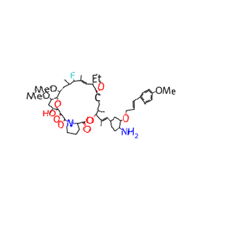 CCC1/C=C(\C)C(F)C(C)CC(OC)C2OC(O)(C(=O)C(=O)N3CCCCC3C(=O)OC(C(C)=CC3CCC(N)C(OCC=Cc4ccc(OC)cc4)C3)C(C)CCC1=O)C(C)CC2OC